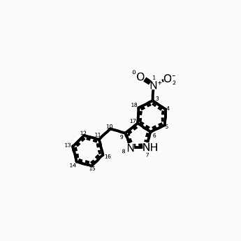 O=[N+]([O-])c1ccc2[nH]nc(Cc3ccccc3)c2c1